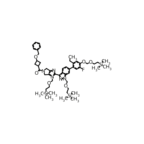 CCc1cc(OCOCC[Si](C)(C)C)c(F)cc1-c1ccc2c(-c3nc4c(n3COCC[Si](C)(C)C)CN(C(=O)C3CC(OCc5ccccc5)C3)C4)nn(COCC[Si](C)(C)C)c2c1